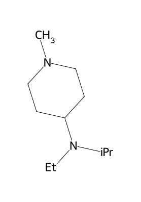 CCN(C(C)C)C1CCN(C)CC1